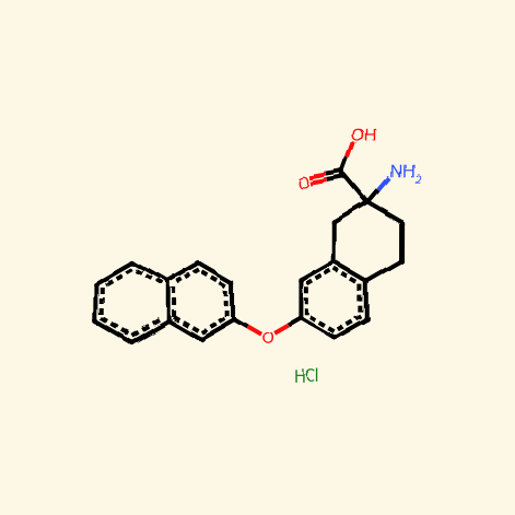 Cl.NC1(C(=O)O)CCc2ccc(Oc3ccc4ccccc4c3)cc2C1